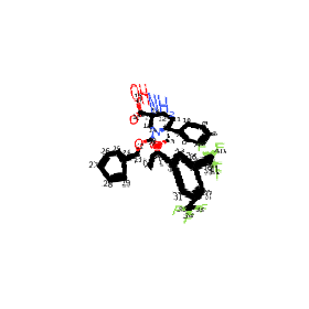 CC(OC[C@@]1(c2ccccc2)CCC(N)(C(=O)O)CN1C(=O)OCc1ccccc1)c1cc(C(F)(F)F)cc(C(F)(F)F)c1